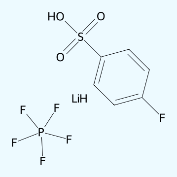 FP(F)(F)(F)F.O=S(=O)(O)c1ccc(F)cc1.[LiH]